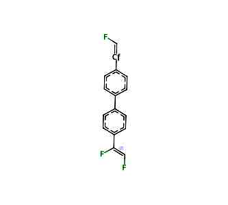 F[CH]=[Cf][c]1ccc(-c2ccc(/C(F)=C/F)cc2)cc1